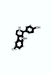 Oc1ccc(C2NCCc3c2[nH]c2ccc(Cl)cc32)cc1